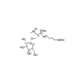 CCCCCCCCCCCCC/C=C/[C@H](OC)[C@H](CO[C@@H]1OC(CO)[C@@H](O)C(O)[C@@H]1O)N(C)CC